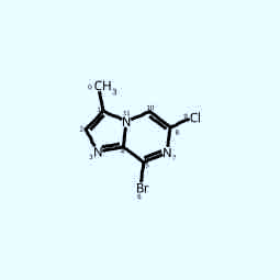 Cc1cnc2c(Br)nc(Cl)cn12